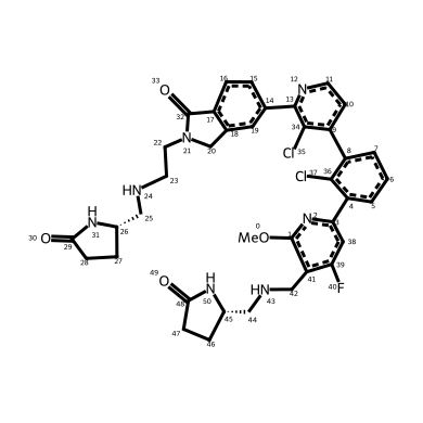 COc1nc(-c2cccc(-c3ccnc(-c4ccc5c(c4)CN(CCNC[C@@H]4CCC(=O)N4)C5=O)c3Cl)c2Cl)cc(F)c1CNC[C@@H]1CCC(=O)N1